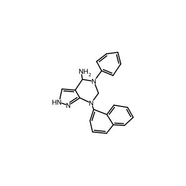 NC1c2c[nH]nc2N(c2cccc3ccccc23)CN1c1ccccc1